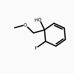 COCC1(O)C=CC=CC1F